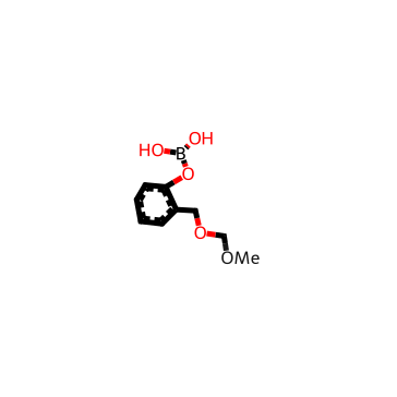 COCOCc1ccccc1OB(O)O